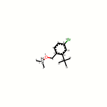 C[SiH](C)OCc1ccc(Br)cc1C(C)(C)C